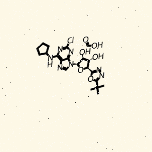 CC(C)(C)c1nnc([C@H]2O[C@@H](n3cnc4c(NC5CCCC5)nc(Cl)nc43)[C@H](O)[C@@H]2O)o1.O=CO